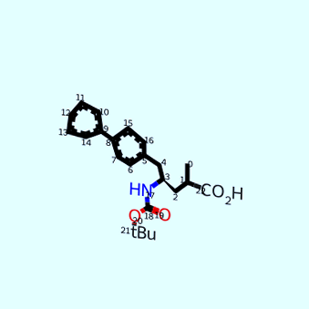 CC(C[C@H](Cc1ccc(-c2ccccc2)cc1)NC(=O)OC(C)(C)C)C(=O)O